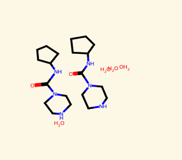 O.O.O.O.O=C(NC1CCCC1)N1CCNCC1.O=C(NC1CCCC1)N1CCNCC1